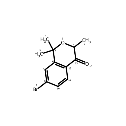 CC1OC(C)(C)c2cc(Br)ccc2C1=O